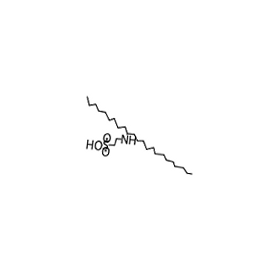 CCCCCCCCCCCCCC(CCCCCCCCC)NCCS(=O)(=O)O